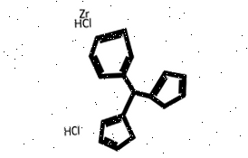 C1=CCC(C(C2=CC=CC2)c2ccccc2)=C1.Cl.Cl.[Zr]